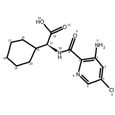 Nc1cc(Cl)cnc1C(=O)N[C@H](C(=O)O)C1CCCCC1